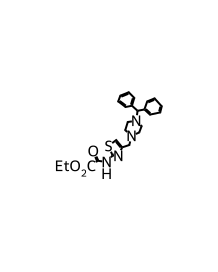 CCOC(=O)C(=O)Nc1nc(CN2CCN(C(c3ccccc3)c3ccccc3)CC2)cs1